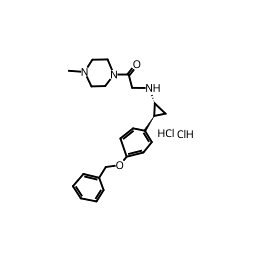 CN1CCN(C(=O)CN[C@@H]2C[C@H]2c2ccc(OCc3ccccc3)cc2)CC1.Cl.Cl